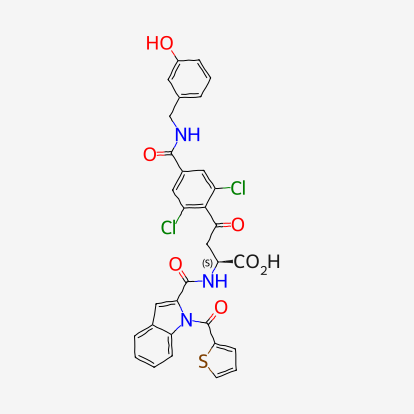 O=C(NCc1cccc(O)c1)c1cc(Cl)c(C(=O)C[C@H](NC(=O)c2cc3ccccc3n2C(=O)c2cccs2)C(=O)O)c(Cl)c1